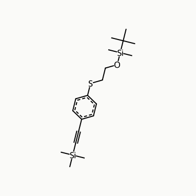 CC(C)(C)[Si](C)(C)OCCSc1ccc(C#C[Si](C)(C)C)cc1